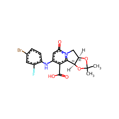 CC1(C)O[C@@H]2Cn3c(c(C(=O)O)c(Nc4ccc(Br)cc4F)cc3=O)[C@@H]2O1